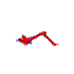 CC(=O)c1nn(CC(=O)N2[C@H](C(=O)Nc3nc(Br)ccc3C)C[C@@]3(CNC(=O)COCCOCCNC(=O)COCCOCCNC(=O)CC[C@H](NC(=O)CCCCCCCCCCCCCCCCC(=O)O)C(=O)OC(C)(C)C)C[C@@H]23)c2ccc(OC(=O)NC3CC3)cc12